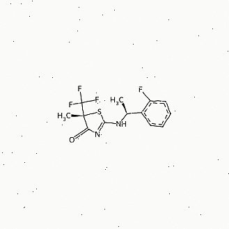 C[C@H](NC1=NC(=O)[C@](C)(C(F)(F)F)S1)c1ccccc1F